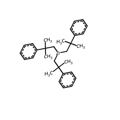 CC(C)([CH2][Zr]([CH2]C(C)(C)c1ccccc1)[CH2]C(C)(C)c1ccccc1)c1ccccc1